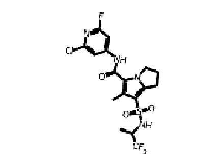 Cc1c(S(=O)(=O)NC(C)C(F)(F)F)c2n(c1C(=O)Nc1cc(F)nc(Cl)c1)CCC2